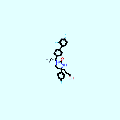 C[C@@H](c1ccc(-c2ccc(F)cc2F)cc1)N1CCC(CCCO)(c2ccc(F)cc2)NC1=O